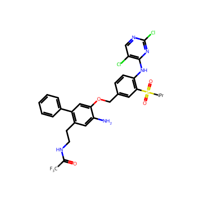 CC(C)S(=O)(=O)c1cc(COc2cc(-c3ccccc3)c(CCNC(=O)C(F)(F)F)cc2N)ccc1Nc1nc(Cl)ncc1Cl